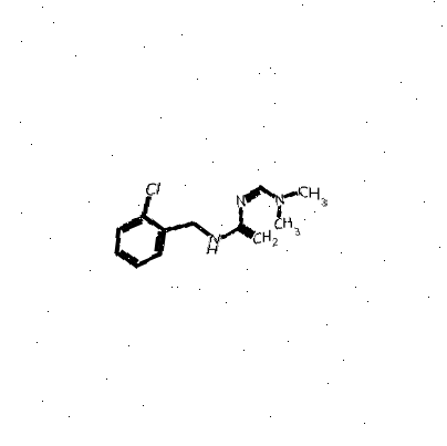 C=C(/N=C\N(C)C)NCc1ccccc1Cl